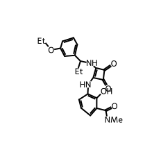 CCOc1cccc(C(CC)Nc2c(Nc3cccc(C(=O)NC)c3O)c(=O)c2=O)c1